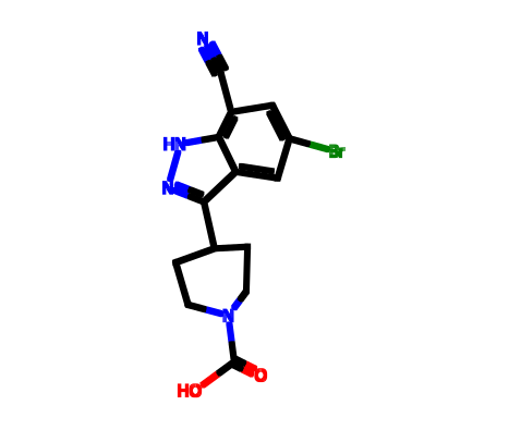 N#Cc1cc(Br)cc2c(C3CCN(C(=O)O)CC3)n[nH]c12